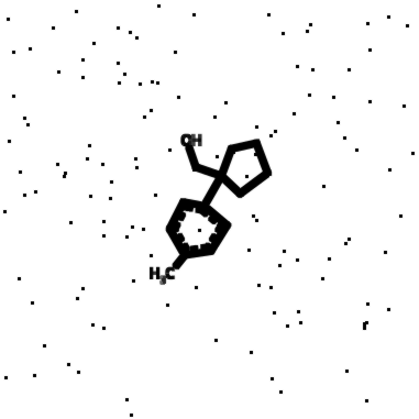 Cc1ccc(C2(CO)CCCC2)cc1